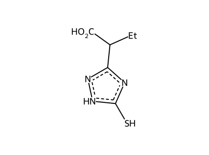 CCC(C(=O)O)c1n[nH]c(S)n1